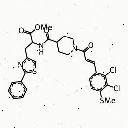 COC(=O)C(Cc1csc(-c2ccccc2)n1)NC(=O)C1CCN(C(=O)C=Cc2ccc(SC)c(Cl)c2Cl)CC1